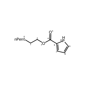 CCCCCCCOC(=O)c1ccc[pH]1